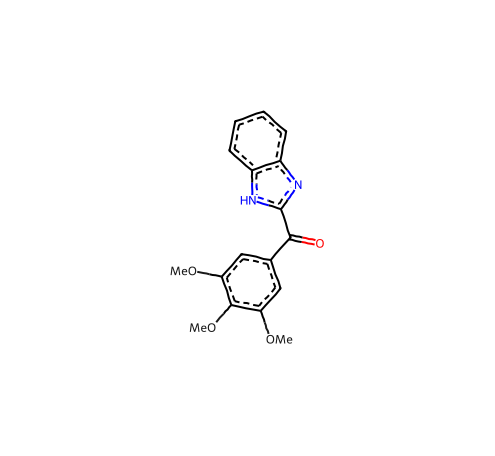 COc1cc(C(=O)c2nc3ccccc3[nH]2)cc(OC)c1OC